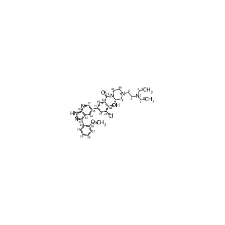 CCN(CC)CCN1CCN(C(=O)c2cc(-c3cnc4[nH]nc(-c5ccccc5OC)c4c3)cc(Cl)c2O)CC1